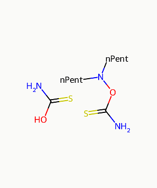 CCCCCN(CCCCC)OC(N)=S.NC(O)=S